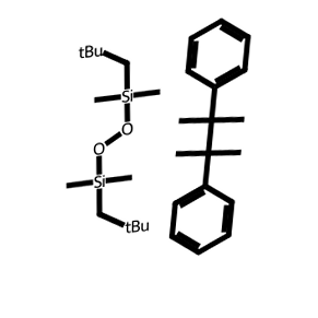 CC(C)(C)C[Si](C)(C)OO[Si](C)(C)CC(C)(C)C.CC(C)(c1ccccc1)C(C)(C)c1ccccc1